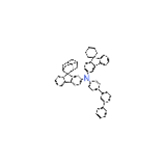 c1ccc(-c2cccc(-c3ccc(N(c4ccc5c(c4)-c4ccccc4C54CCCCC4)c4ccc5c(c4)C4(c6ccccc6-5)C5CC6CC(C5)CC4C6)cc3)c2)cc1